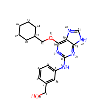 OCc1cccc(Nc2nc(OCC3CCCCC3)c3nc[nH]c3n2)c1